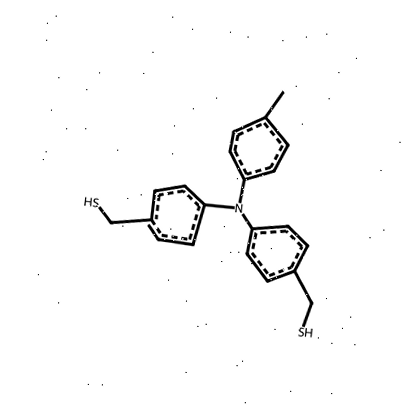 Cc1ccc(N(c2ccc(CS)cc2)c2ccc(CS)cc2)cc1